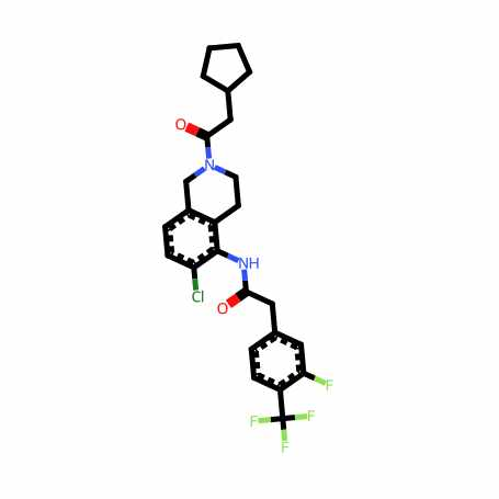 O=C(Cc1ccc(C(F)(F)F)c(F)c1)Nc1c(Cl)ccc2c1CCN(C(=O)CC1CCCC1)C2